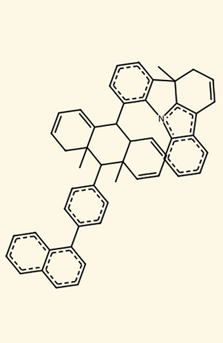 CC12CC=Cc3c1n(c1ccccc31)-c1c(C3C4=CC=CCC4(C)C(c4ccc(-c5cccc6ccccc56)cc4)C4(C)C=CC=CC34)cccc12